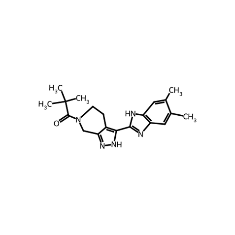 Cc1cc2nc(-c3[nH]nc4c3CCN(C(=O)C(C)(C)C)C4)[nH]c2cc1C